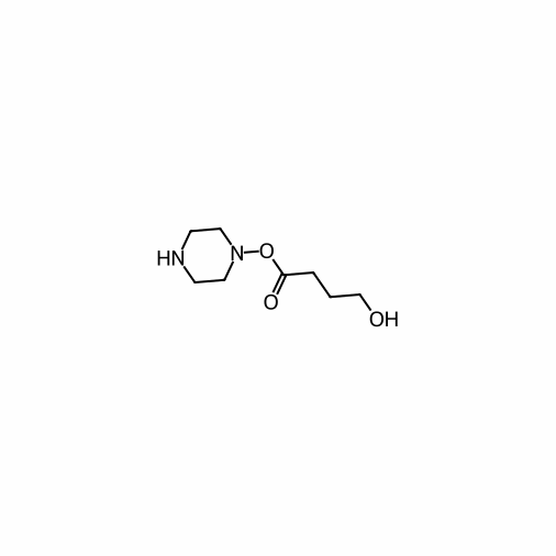 O=C(CCCO)ON1CCNCC1